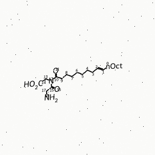 CCCCCCCCC=CCCCCCCCC(=O)N(CC(=O)O)C(=O)CN